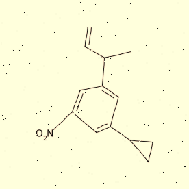 C=C[C](C)c1cc(C2CC2)cc([N+](=O)[O-])c1